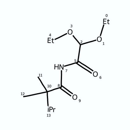 CCOC(OCC)C(=O)NC(=O)C(C)(C)C(C)C